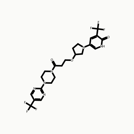 O=C(CCOC1CCN(c2c[nH]c(=O)c(C(F)(F)F)c2)C1)N1CCN(c2ncc(C(F)(F)F)cn2)CC1